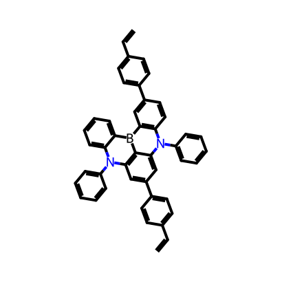 C=Cc1ccc(-c2ccc3c(c2)B2c4ccccc4N(c4ccccc4)c4cc(-c5ccc(C=C)cc5)cc(c42)N3c2ccccc2)cc1